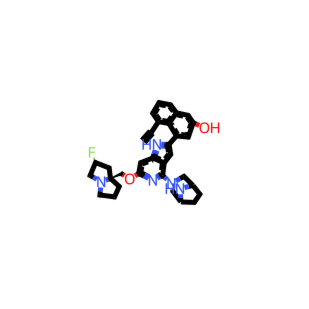 C#Cc1cccc2cc(O)cc(-c3cc4c(N5CC6CCC(C5)N6)nc(OC[C@@]56CCCN5C[C@H](F)C6)cc4[nH]3)c12